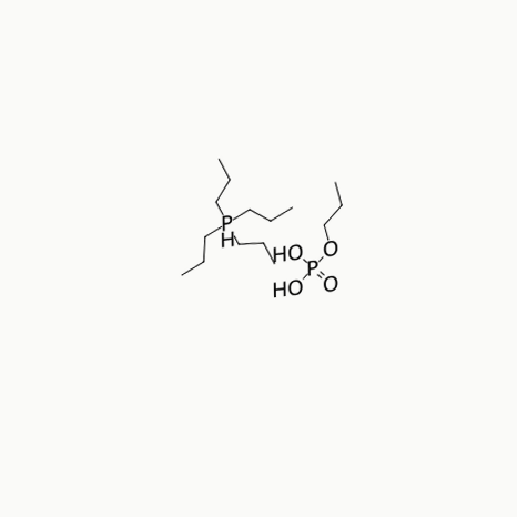 CCCOP(=O)(O)O.CCC[PH](CCC)(CCC)CCC